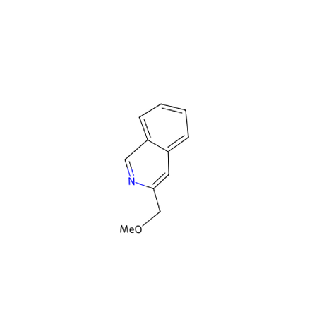 COCc1cc2ccccc2cn1